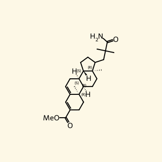 COC(=O)C1=CC2=CC[C@@H]3[C@@H](CC[C@]4(C)C(CC(C)(C)C(N)=O)CC[C@@H]34)[C@@]2(C)CC1